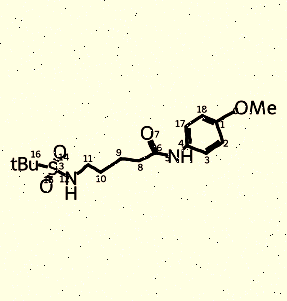 COc1ccc(NC(=O)CCCCNS(=O)(=O)C(C)(C)C)cc1